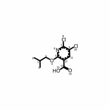 CC(C)COc1nc(Cl)c(Cl)cc1C(=O)O